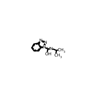 CC(C)NC(O)n1nnc2ccccc21